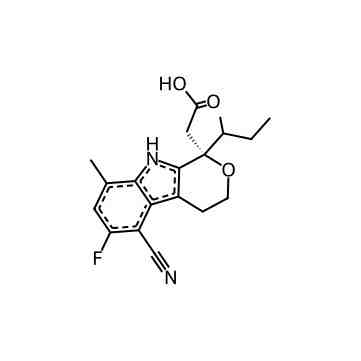 CCC(C)[C@@]1(CC(=O)O)OCCc2c1[nH]c1c(C)cc(F)c(C#N)c21